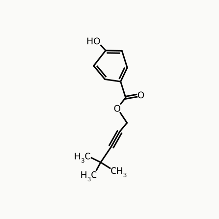 CC(C)(C)C#CCOC(=O)c1ccc(O)cc1